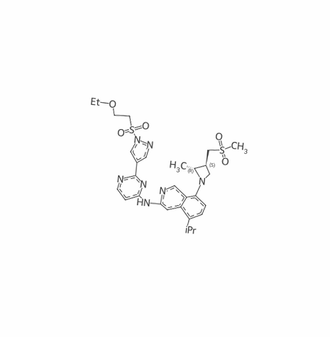 CCOCCS(=O)(=O)n1cc(-c2nccc(Nc3cc4c(C(C)C)ccc(N5C[C@H](CS(C)(=O)=O)[C@H]5C)c4cn3)n2)cn1